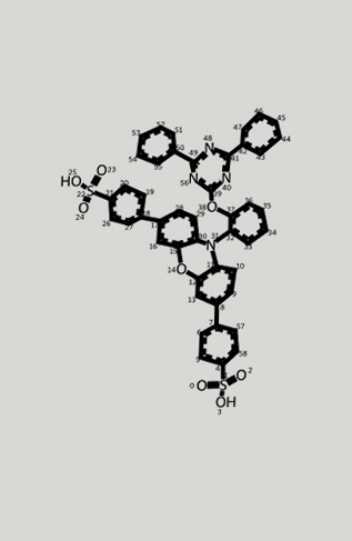 O=S(=O)(O)c1ccc(-c2ccc3c(c2)Oc2cc(-c4ccc(S(=O)(=O)O)cc4)ccc2N3c2ccccc2Oc2nc(-c3ccccc3)nc(-c3ccccc3)n2)cc1